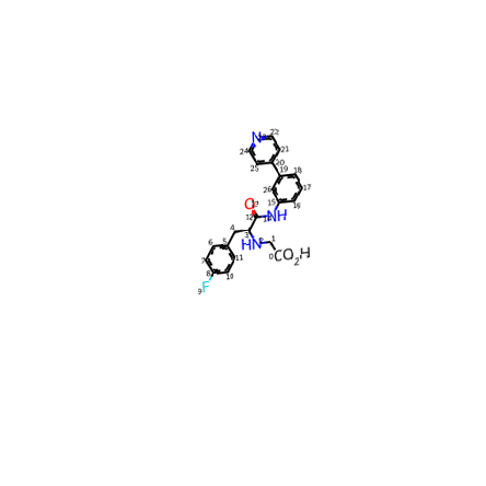 O=C(O)CN[C@@H](Cc1ccc(F)cc1)C(=O)Nc1cccc(-c2ccncc2)c1